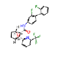 O=C(Nc1ccc(-c2ccccc2F)c(F)c1)[C@@H]1[C@H](c2cccc(C(F)(F)F)n2)[C@@H]2CC[C@H]1O2